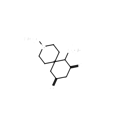 CCOC(=O)N1CCC2(CC1)CC(=O)CC(=O)C2C(=O)O